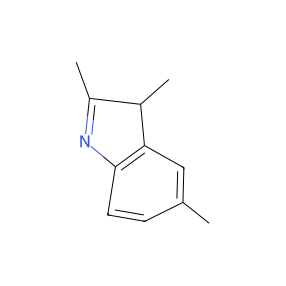 CC1=Nc2ccc(C)cc2C1C